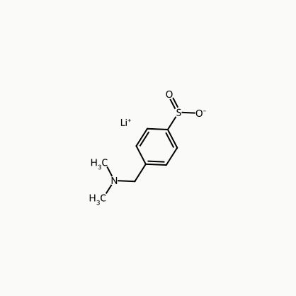 CN(C)Cc1ccc(S(=O)[O-])cc1.[Li+]